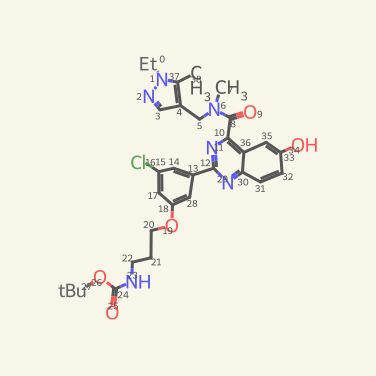 CCn1ncc(CN(C)C(=O)c2nc(-c3cc(Cl)cc(OCCCNC(=O)OC(C)(C)C)c3)nc3ccc(O)cc23)c1C